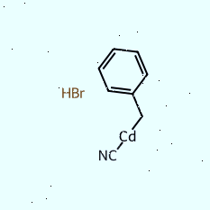 Br.N#[C][Cd][CH2]c1ccccc1